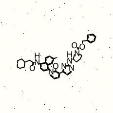 Cc1ccc2c(NC(=O)CC3CCCCC3)cccc2c1Oc1ncccc1-c1ccnc(N[C@H]2C[C@@H](C)CN(C(=O)OCc3ccccc3)C2)n1